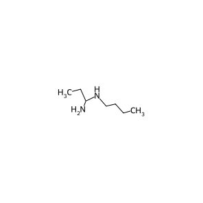 CCCCNC(N)CC